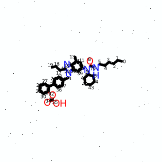 CCCCCCNC(=O)N(c1cc(C)c2nc(CCC)n(Cc3ccc(-c4ccccc4OC(=O)O)cc3)c2c1)C1CCCCC1